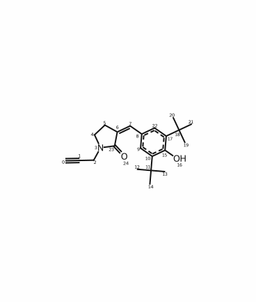 C#CCN1CC/C(=C/c2cc(C(C)(C)C)c(O)c(C(C)(C)C)c2)C1=O